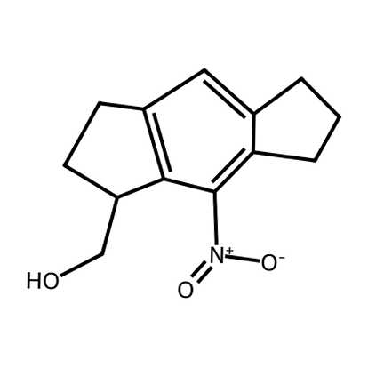 O=[N+]([O-])c1c2c(cc3c1C(CO)CC3)CCC2